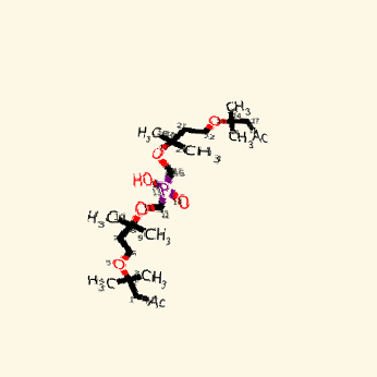 CC(=O)CC(C)(C)OCCC(C)(C)OCP(=O)(O)COC(C)(C)CCOC(C)(C)CC(C)=O